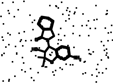 CC1(C)Oc2cc(N)ccc2C(N2Cc3ccccc3C2=O)C1O